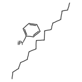 CC(C)c1ccccc1.CCCCCCCCCCCCCCCC